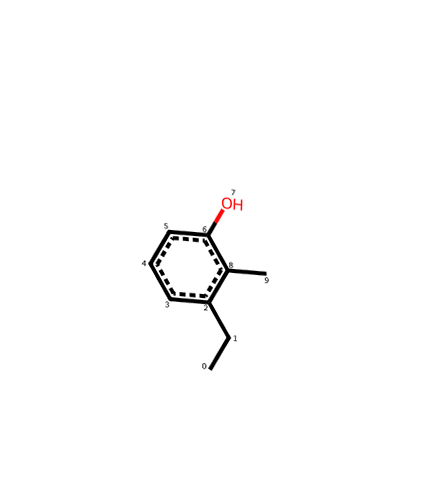 CCc1cccc(O)c1C